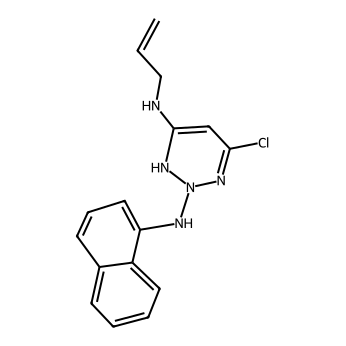 C=CCNC1=CC(Cl)=NN(Nc2cccc3ccccc23)N1